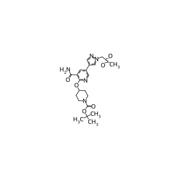 CC(C)(C)OC(=O)N1CCC(Oc2ncc(-c3cnn(CS(C)(=O)=O)c3)cc2C(N)=O)CC1